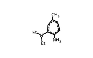 CCN(CC)c1cc(C)ccc1N